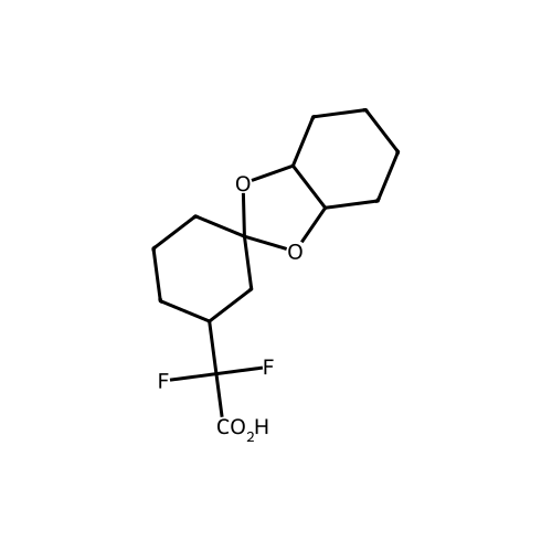 O=C(O)C(F)(F)C1CCCC2(C1)OC1CCCCC1O2